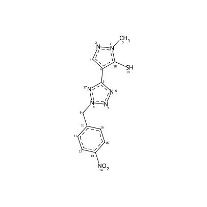 Cn1ncc(-c2nnn(Cc3ccc([N+](=O)[O-])cc3)n2)c1S